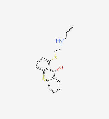 C=CCNCCSc1cccc2sc3ccccc3c(=O)c12